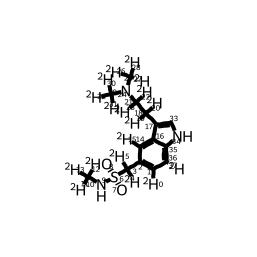 [2H]c1c(C([2H])([2H])S(=O)(=O)NC([2H])([2H])[2H])c([2H])c2c(C([2H])([2H])C([2H])([2H])N(C([2H])([2H])[2H])C([2H])([2H])[2H])c[nH]c2c1[2H]